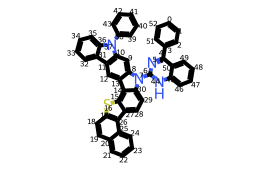 c1ccc(C2=NC(n3c4cc5c(cc4c4c6sc7ccc8ccccc8c7c6ccc43)c3ccccc3n5-c3ccccc3)Nc3ccccc32)cc1